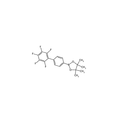 CC1(C)OB(c2ccc(-c3c(F)c(F)c(F)c(F)c3F)cc2)OC1(C)C